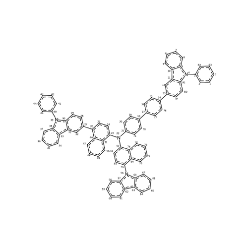 c1ccc(-n2c3ccccc3c3cc(-c4ccc(-c5ccc(N(c6ccc(-c7ccc8c(c7)c7ccccc7n8-c7ccccc7)c7ccccc67)c6ccc(-n7c8ccccc8c8ccccc87)c7ccccc67)cc5)cc4)ccc32)cc1